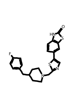 O=c1[nH]c2ccc(-c3cnc(CN4CCC(Cc5ccc(F)cc5)CC4)s3)cc2s1